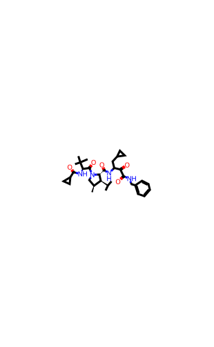 CC(C)[C@@H]1[C@@H](C(=O)NC(CC2CC2)C(=O)C(=O)NCc2ccccc2)N(C(=O)[C@@H](NC(=O)C2CC2)C(C)(C)C)C[C@@H]1C